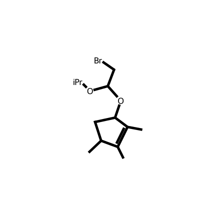 CC1=C(C)C(OC(CBr)OC(C)C)CC1C